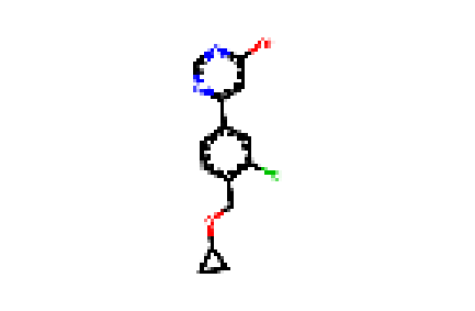 Oc1cc(-c2ccc(COC3CC3)c(Cl)c2)ncn1